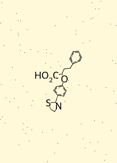 O=C(O)C(CCc1ccccc1)Oc1ccc(C2=NCCS2)cc1